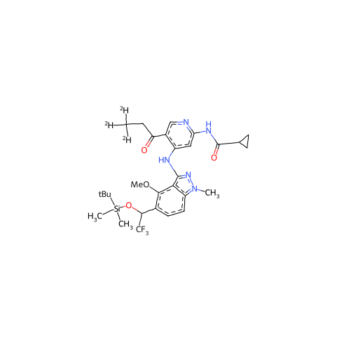 [2H]C([2H])([2H])CC(=O)c1cnc(NC(=O)C2CC2)cc1Nc1nn(C)c2ccc(C(O[Si](C)(C)C(C)(C)C)C(F)(F)F)c(OC)c12